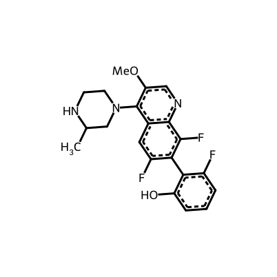 COc1cnc2c(F)c(-c3c(O)cccc3F)c(F)cc2c1N1CCNC(C)C1